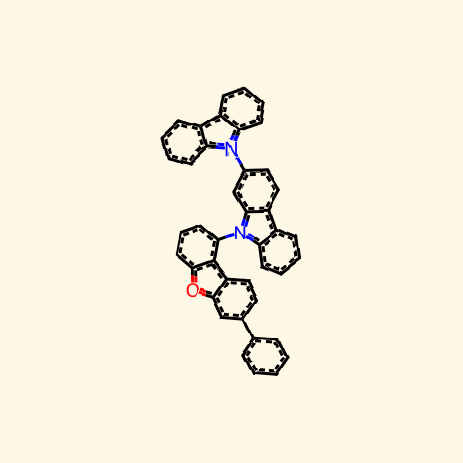 c1ccc(-c2ccc3c(c2)oc2cccc(-n4c5ccccc5c5ccc(-n6c7ccccc7c7ccccc76)cc54)c23)cc1